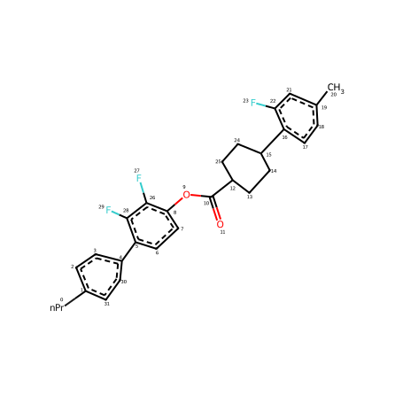 CCCc1ccc(-c2ccc(OC(=O)C3CCC(c4ccc(C)cc4F)CC3)c(F)c2F)cc1